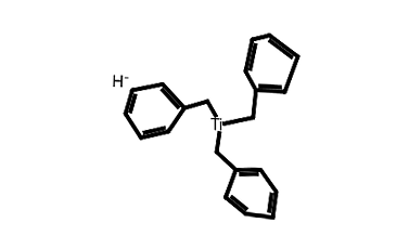 [H-].c1ccc([CH2][Ti]([CH2]c2ccccc2)[CH2]c2ccccc2)cc1